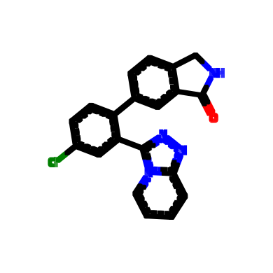 O=C1NCc2ccc(-c3ccc(Cl)cc3-c3nnc4ccccn34)cc21